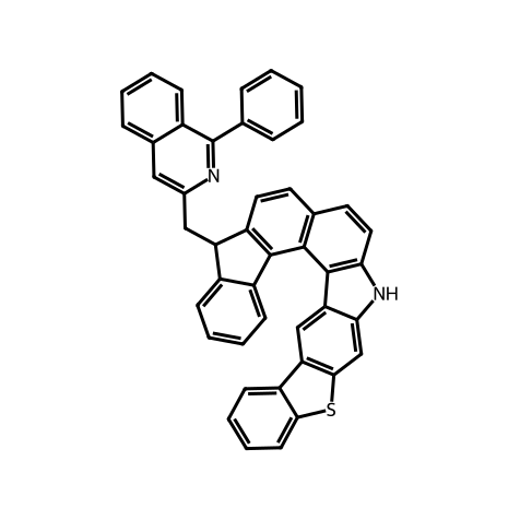 c1ccc(-c2nc(CC3c4ccccc4-c4c3ccc3ccc5[nH]c6cc7sc8ccccc8c7cc6c5c43)cc3ccccc23)cc1